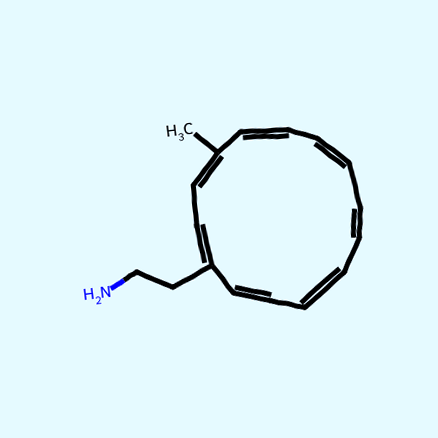 Cc1ccccccccccc(CCN)cc1